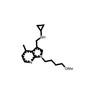 COCCCCn1cc(CNC2CC2)c2c(C)ccnc21